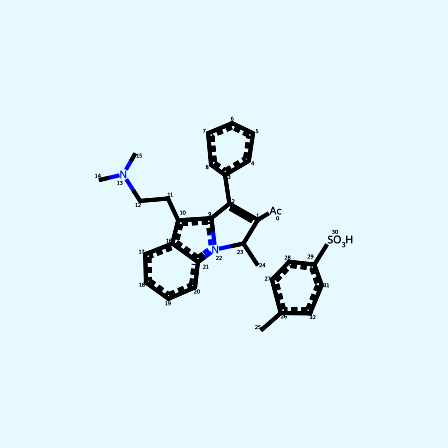 CC(=O)C1=C(c2ccccc2)c2c(CCN(C)C)c3ccccc3n2C1C.Cc1ccc(S(=O)(=O)O)cc1